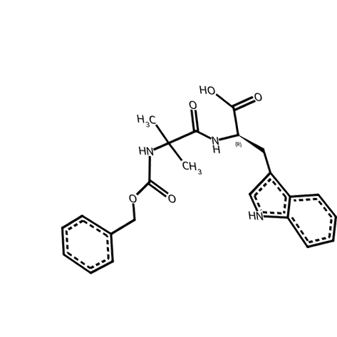 CC(C)(NC(=O)OCc1ccccc1)C(=O)N[C@H](Cc1c[nH]c2ccccc12)C(=O)O